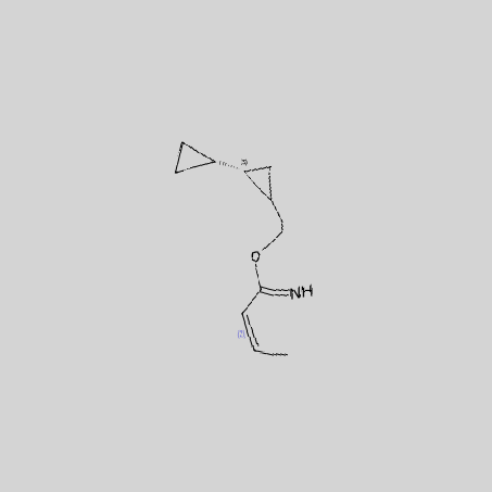 C/C=C\C(=N)OCC1C[C@H]1C1CC1